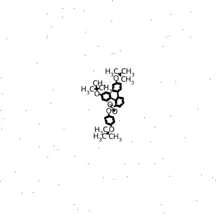 CC(C)(C)Oc1ccc(OS(=O)(=O)c2cccc(-c3ccc(OC(C)(C)C)cc3)c2-c2ccc(OC(C)(C)C)cc2)cc1